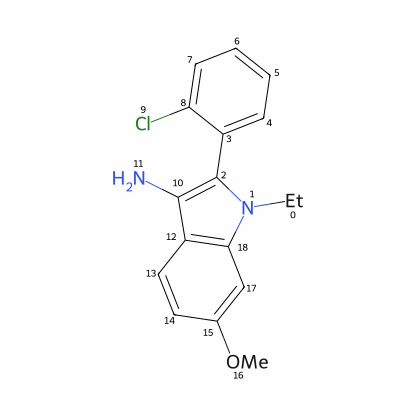 CCn1c(-c2ccccc2Cl)c(N)c2ccc(OC)cc21